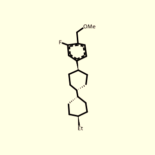 CC[C@H]1CC[C@H]([C@H]2CC[C@H](c3ccc(COC)c(F)c3)CC2)CC1